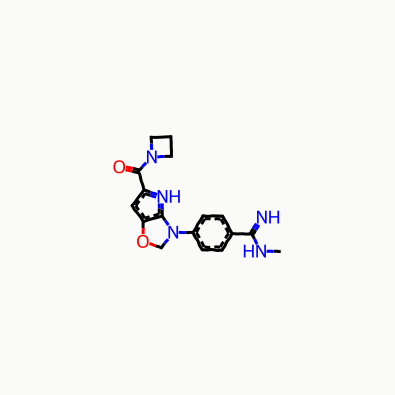 CNC(=N)c1ccc(N2COc3cc(C(=O)N4CCC4)[nH]c32)cc1